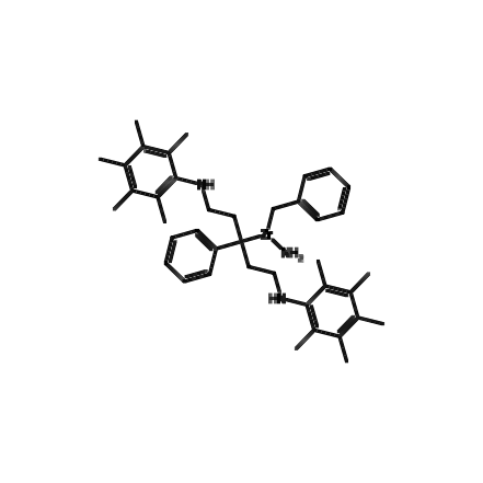 Cc1c(C)c(C)c(NCC[C](CCNc2c(C)c(C)c(C)c(C)c2C)(c2ccccc2)[Zr]([NH2])[CH2]c2ccccc2)c(C)c1C